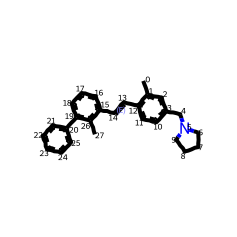 Cc1cc(CN2CCCC2)ccc1/C=C/c1cccc(-c2ccccc2)c1C